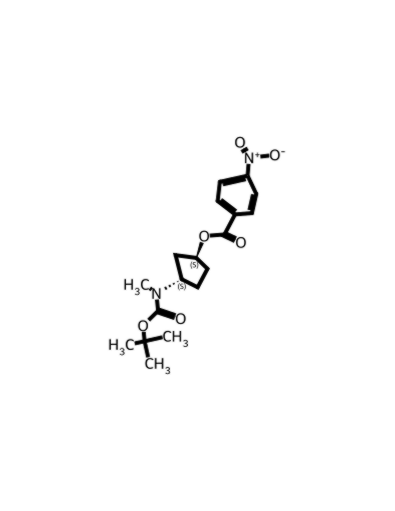 CN(C(=O)OC(C)(C)C)[C@H]1CC[C@H](OC(=O)c2ccc([N+](=O)[O-])cc2)C1